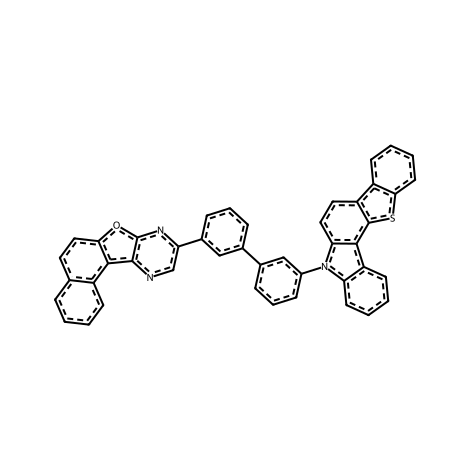 c1cc(-c2cccc(-n3c4ccccc4c4c5sc6ccccc6c5ccc43)c2)cc(-c2cnc3c(n2)oc2ccc4ccccc4c23)c1